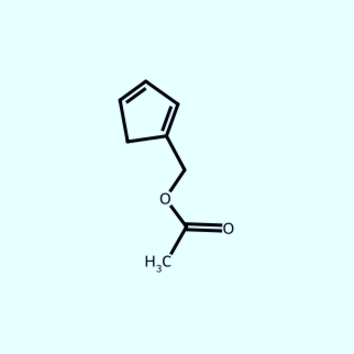 CC(=O)OCC1=CC=CC1